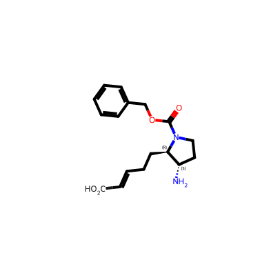 N[C@H]1CCN(C(=O)OCc2ccccc2)[C@@H]1CCC=CC(=O)O